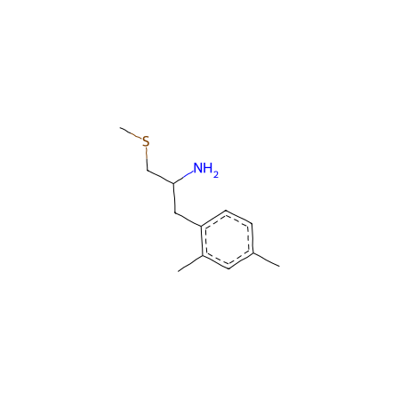 CSCC(N)Cc1ccc(C)cc1C